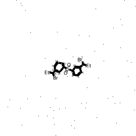 CCC(Br)c1cccc(S(=O)(=O)c2cccc(C(Br)CC)c2)c1